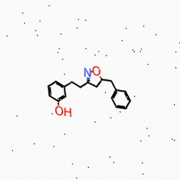 Oc1cccc(CCC2=NOC(Cc3ccccc3)C2)c1